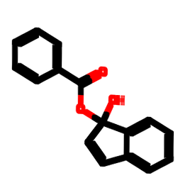 O=C(OC1(O)C=Cc2ccccc21)c1ccccc1